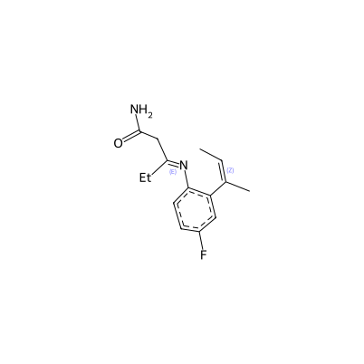 C/C=C(/C)c1cc(F)ccc1/N=C(\CC)CC(N)=O